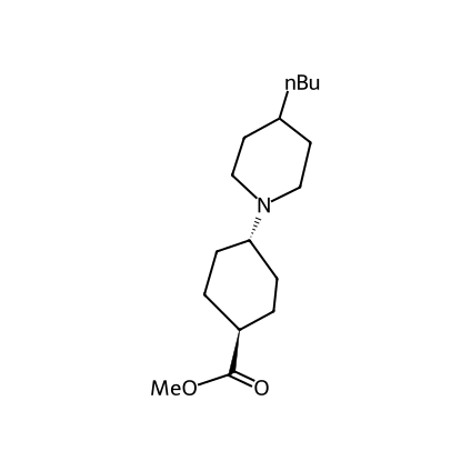 CCCCC1CCN([C@H]2CC[C@H](C(=O)OC)CC2)CC1